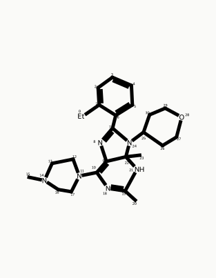 CCc1ccccc1C1=NC2=C(N3CCN(C)CC3)N=C(C)NC2(C)N1C1CCOCC1